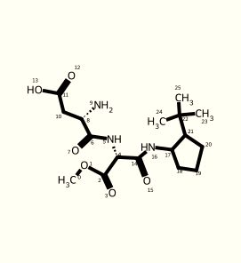 COC(=O)[C@H](NC(=O)[C@@H](N)CC(=O)O)C(=O)NC1CCCC1C(C)(C)C